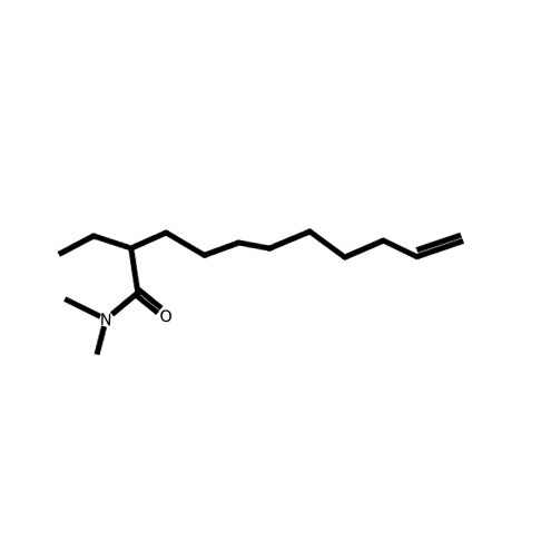 C=CCCCCCCCC(CC)C(=O)N(C)C